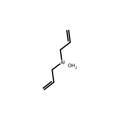 C=C[CH2][Al][CH2]C=C.O